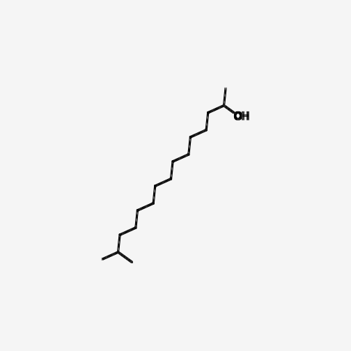 CC(C)CCCCCCCCCCCC(C)O